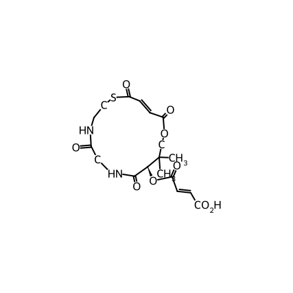 CC1(C)COC(=O)/C=C/C(=O)SCCNC(=O)CCNC(=O)[C@@H]1OC(=O)/C=C/C(=O)O